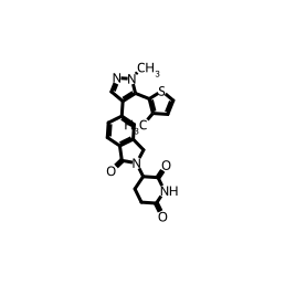 Cc1ccsc1-c1c(-c2ccc3c(c2)CN(C2CCC(=O)NC2=O)C3=O)cnn1C